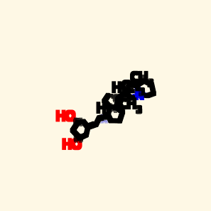 C[C@H](CN1CCCCC1(C)C)[C@H]1CC[C@H]2/C(=C/C=C3C[C@@H](O)C[C@H](O)C3)CCC[C@]12C